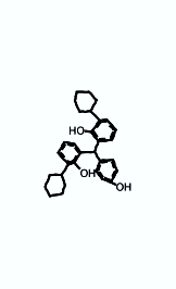 Oc1ccc(C(c2cccc(C3CCCCC3)c2O)c2cccc(C3CCCCC3)c2O)cc1